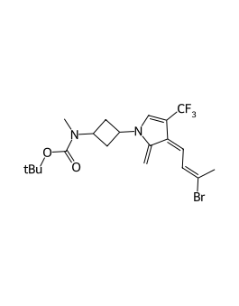 C=c1/c(=C\C=C(/C)Br)c(C(F)(F)F)cn1C1CC(N(C)C(=O)OC(C)(C)C)C1